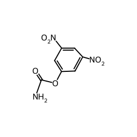 NC(=O)Oc1cc([N+](=O)[O-])cc([N+](=O)[O-])c1